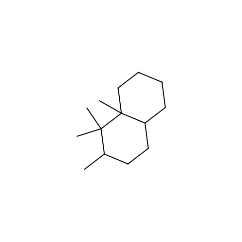 CC1CCC2CCCCC2(C)C1(C)C